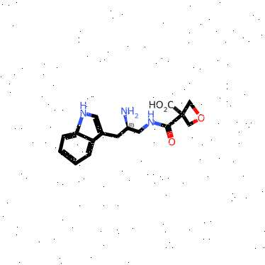 N[C@@H](CNC(=O)C1(C(=O)O)COC1)Cc1c[nH]c2ccccc12